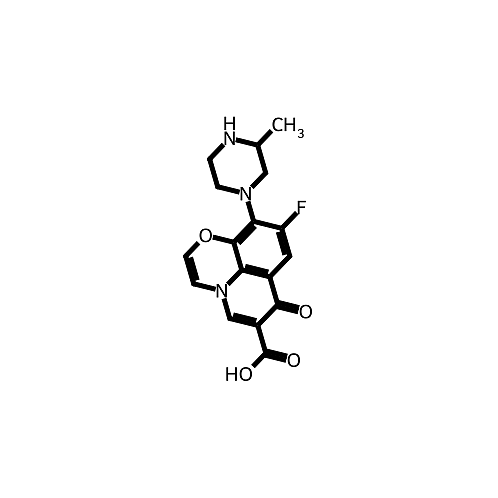 CC1CN(c2c(F)cc3c(=O)c(C(=O)O)cn4c3c2OC=C4)CCN1